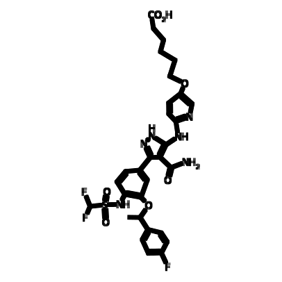 CC(Oc1cc(-c2n[nH]c(Nc3ccc(OCCCCCC(=O)O)cn3)c2C(N)=O)ccc1NS(=O)(=O)C(F)F)c1ccc(F)cc1